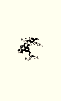 CCOc1cc([C@H](C)N2CCc3c(cc(CCN(C)CC)cc3-c3cncn3C)C2=O)ncc1C#N